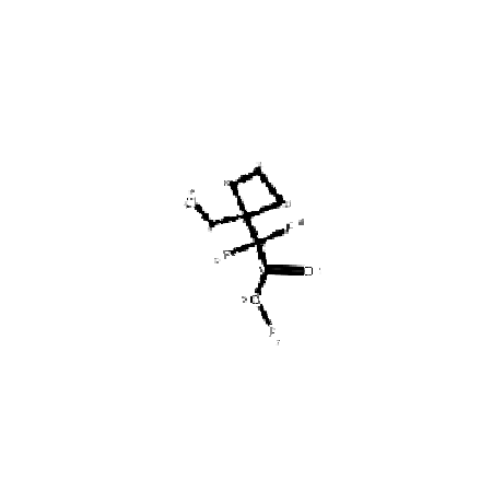 O=C(OF)C(F)(F)C1(CCl)CCC1